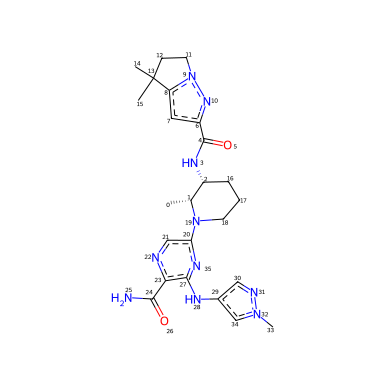 C[C@@H]1[C@H](NC(=O)c2cc3n(n2)CCC3(C)C)CCCN1c1cnc(C(N)=O)c(Nc2cnn(C)c2)n1